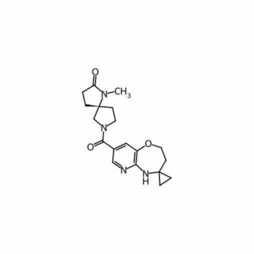 CN1C(=O)CC[C@]12CCN(C(=O)c1cnc3c(c1)OCCC1(CC1)N3)C2